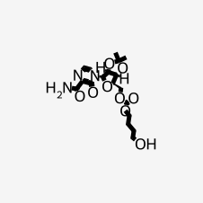 CC1(C)O[C@@H]2[C@H](O1)[C@@H](COC(=O)OCCCCO)O[C@H]2n1ccnc(C(N)=O)c1=O